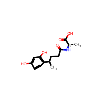 CC(CCC(=O)N[C@@H](C)C(=O)O)c1ccc(O)cc1O